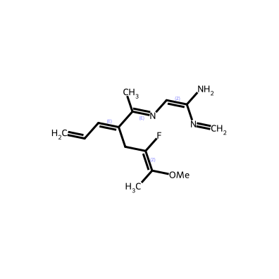 C=C/C=C(C/C(F)=C(\C)OC)/C(C)=N/C=C(/N)N=C